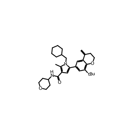 C=C1CCOc2c1cc(-c1cc(C(=O)NC3CCOCC3)c(C)n1CC1CCCCC1)cc2C(C)(C)C